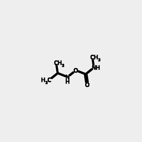 CNC(=O)ONC(C)C